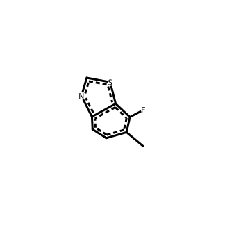 Cc1ccc2ncsc2c1F